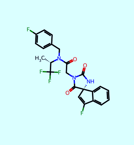 C[C@H](N(Cc1ccc(F)cc1)C(=O)CN1C(=O)N[C@]2(C=C(F)c3ccccc32)C1=O)C(F)(F)F